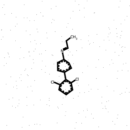 CCC=Nc1ccc(-c2c(Cl)cccc2Cl)cc1